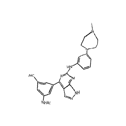 CC(=O)Nc1cc(C#N)cc(-c2nc(Nc3cccc(N4CCN(I)CC4)c3)nc3[nH]ncc23)c1